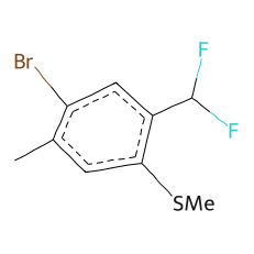 CSc1cc(C)c(Br)cc1C(F)F